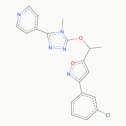 CC(Oc1nnc(-c2ccncc2)n1C)c1cc(-c2cccc(Cl)c2)no1